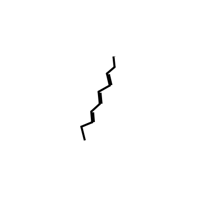 [CH2]CC=CC=CC=CCC